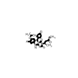 COC(=O)C[C@@H](C)n1c(=O)nc(Nc2ccc(OC(C)C)c(F)c2)n(Cc2ccc(Cl)cc2)c1=O